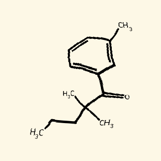 CCCC(C)(C)C(=O)c1cccc(C)c1